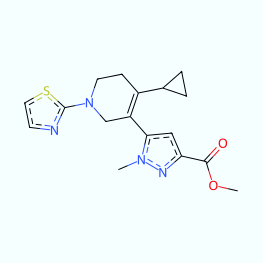 COC(=O)c1cc(C2=C(C3CC3)CCN(c3nccs3)C2)n(C)n1